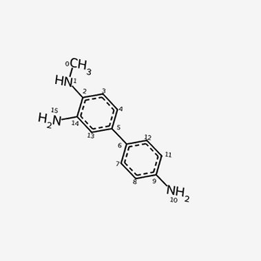 CNc1ccc(-c2ccc(N)cc2)cc1N